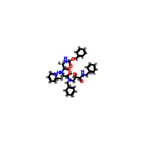 C[C@H](NC(=O)OCc1ccccc1)C(=O)N[C@@H](Cc1ccccn1)C(=O)N(CC(=O)C(=O)NCc1ccccc1)Cc1ccccc1